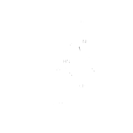 Cc1cc(Oc2ccccc2)ccc1N1C(=O)NC2c3c1ccnc3S[C@@H]2C(=O)NC1CCOC1